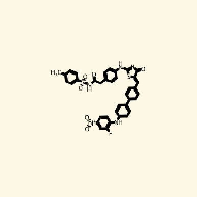 Cc1ccc(S(=O)(=O)NC(=O)Cc2ccc(NC3=NC(=O)C(=Cc4ccc(-c5ccc(Nc6ccc([N+](=O)[O-])cc6F)cc5)cc4)S3)cc2)cc1